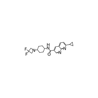 O=C(NC1CCC(N2CC(F)(F)C2)CC1)c1cnc2nc(C3CC3)ccc2c1